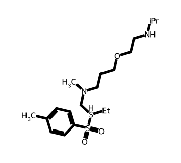 CC[SH](CN(C)CCCOCCNC(C)C)S(=O)(=O)c1ccc(C)cc1